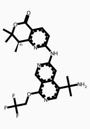 C[C@@H]1c2nc(Nc3cc4c(C(C)(C)N)cnc(OCC(F)(F)F)c4cn3)ccc2C(=O)OC1(C)C